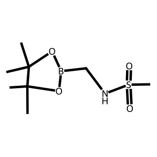 CC1(C)OB(CNS(C)(=O)=O)OC1(C)C